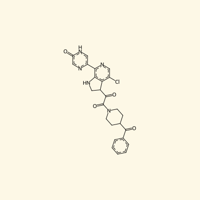 O=C(c1ccccc1)C1CCN(C(=O)C(=O)C2CNc3c(-c4c[nH]c(=O)cn4)ncc(Cl)c32)CC1